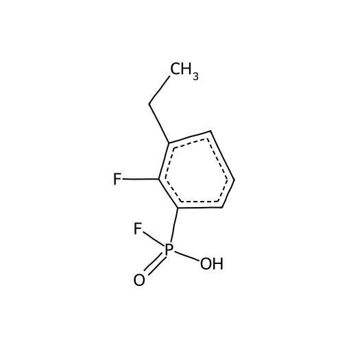 CCc1cccc(P(=O)(O)F)c1F